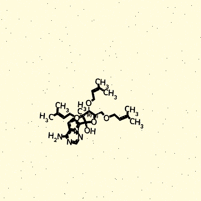 CC(C)=CCOC[C@H]1OC(O)(c2ccc3c(N)ncnn23)[C@](C)(OCC=C(C)C)[C@@H]1OCC=C(C)C